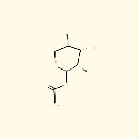 CC(=O)NC1OC[C@@H](O)[C@H](O)[C@H]1O